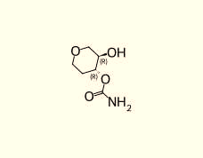 NC(=O)O[C@@H]1CCOC[C@H]1O